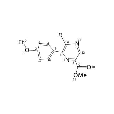 CCOc1ccc(-c2nc(C(=O)OC)cnc2C)cc1